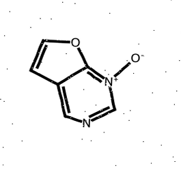 [O-][n+]1cncc2ccoc21